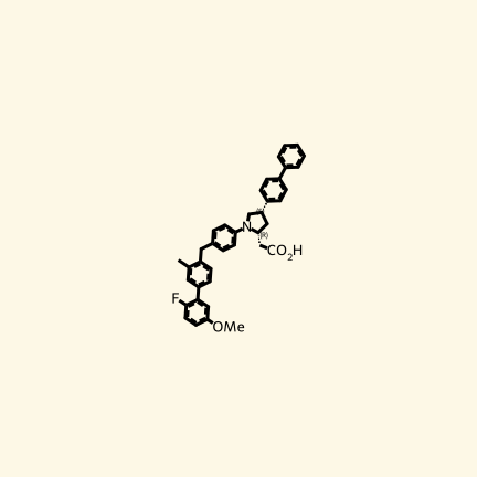 COc1ccc(F)c(-c2ccc(Cc3ccc(N4C[C@H](c5ccc(-c6ccccc6)cc5)C[C@@H]4CC(=O)O)cc3)c(C)c2)c1